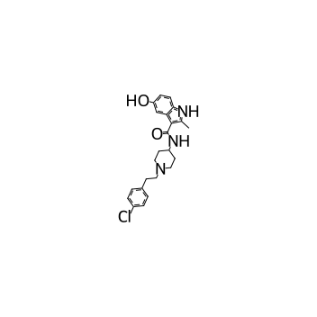 Cc1[nH]c2ccc(O)cc2c1C(=O)NC1CCN(CCc2ccc(Cl)cc2)CC1